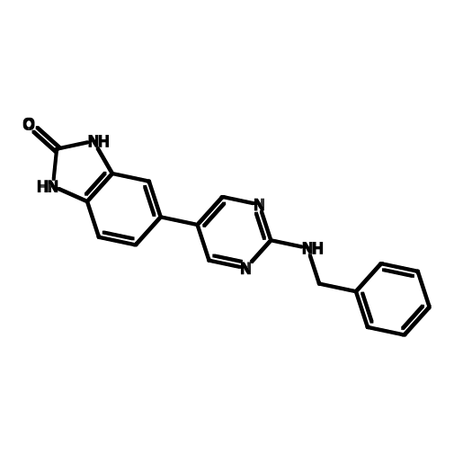 O=c1[nH]c2ccc(-c3cnc(NCc4ccccc4)nc3)cc2[nH]1